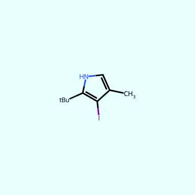 Cc1c[nH]c(C(C)(C)C)c1I